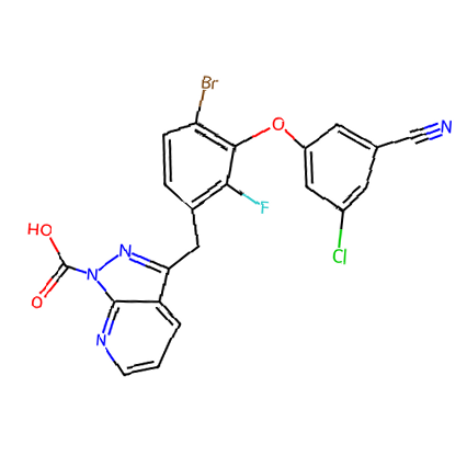 N#Cc1cc(Cl)cc(Oc2c(Br)ccc(Cc3nn(C(=O)O)c4ncccc34)c2F)c1